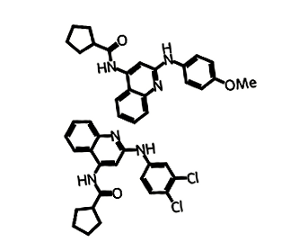 COc1ccc(Nc2cc(NC(=O)C3CCCC3)c3ccccc3n2)cc1.O=C(Nc1cc(Nc2ccc(Cl)c(Cl)c2)nc2ccccc12)C1CCCC1